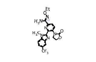 CCO/N=C(\N)c1ccc(N2CCOC2=O)c(-c2nc3cc(C(F)(F)F)ccc3n2C)n1